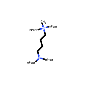 CCCCCN(CCCCC)CCCC[N+](C)(CCCCC)CCCCC